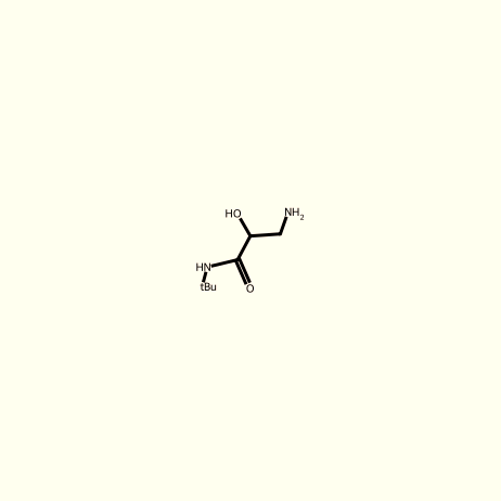 CC(C)(C)NC(=O)C(O)CN